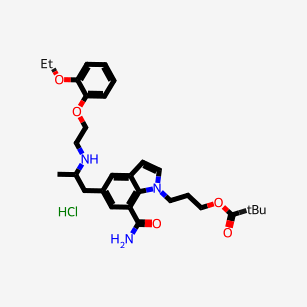 CCOc1ccccc1OCCNC(C)Cc1cc(C(N)=O)c2c(ccn2CCCOC(=O)C(C)(C)C)c1.Cl